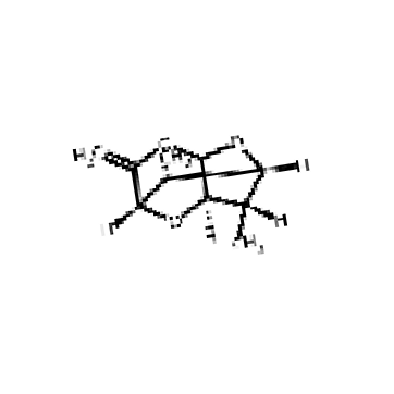 C=C1OC2O[C@H]3[C@@H](C)[C@@H]1O[C@@H]2[C@H]3C